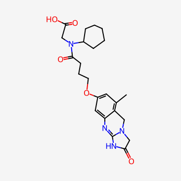 Cc1cc(OCCCC(=O)N(CC(=O)O)C2CCCCC2)cc2c1CN1CC(=O)NC1=N2